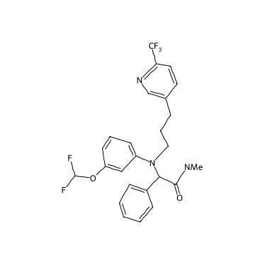 CNC(=O)C(c1ccccc1)N(CCCc1ccc(C(F)(F)F)nc1)c1cccc(OC(F)F)c1